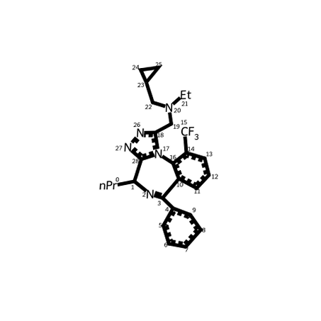 CCCC1N=C(c2ccccc2)c2cccc(C(F)(F)F)c2-n2c(CN(CC)CC3CC3)nnc21